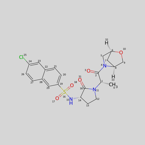 C[C@@H](C(=O)N1C[C@@H]2C[C@H]1CO2)N1CC[C@H](NS(=O)(=O)c2ccc3cc(Cl)ccc3c2)C1=O